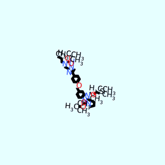 CCCCN(Cc1nc(-c2ccc(OCc3ccc4nc([C@@]5(C)CCCN5C(=O)OC(C)(C)C)n(COCC[Si](C)(C)C)c4c3)cc2)c[nH]1)C(=O)OC(C)(C)C